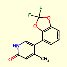 Cc1cc(=O)[nH]cc1-c1cccc2c1OC(F)(F)O2